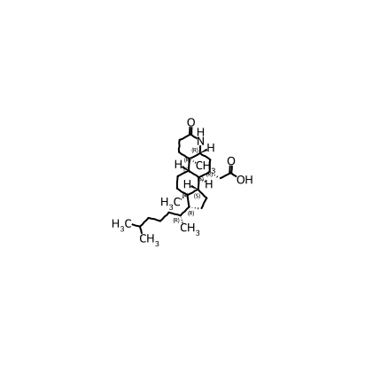 CC(C)CCC[C@@H](C)[C@H]1CC[C@H]2[C@@H]3[C@@H](CC(=O)O)C[C@H]4NC(=O)CC[C@]4(C)[C@H]3CC[C@]12C